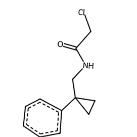 O=C(CCl)NCC1(c2ccccc2)CC1